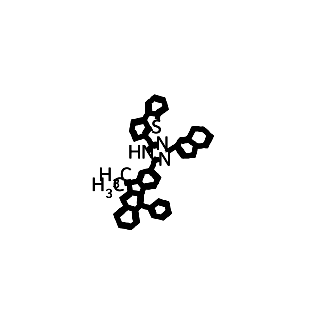 CC1(C)c2cc(C3N=C(C4=CCC5C=CCCC5=C4)N=C(c4cccc5c4sc4ccccc45)N3)ccc2-c2c1cc1ccccc1c2-c1ccccc1